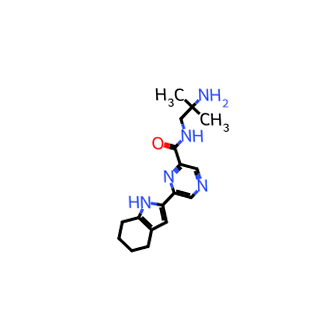 CC(C)(N)CNC(=O)c1cncc(-c2cc3c([nH]2)CCCC3)n1